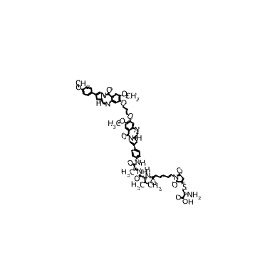 COc1ccc(C2=CN3C(=O)c4cc(OC)c(OCCCOc5cc6c(cc5OC)C(=O)N5C=C(c7ccc(NC(=O)[C@H](C)NC(=O)[C@@H](NC(=O)CCCCCN8C(=O)C[C@@H](SC[C@H](N)C(=O)O)C8=O)C(C)C)cc7)C[C@H]5C=N6)cc4N=C[C@@H]3C2)cc1